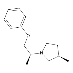 C[C@@H]1CCN([C@@H](C)COc2ccccc2)C1